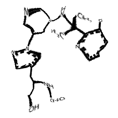 CC(C)(NN1C=NC=C(n2cc(C(CO)NC=O)cn2)C1)c1ncccc1Cl